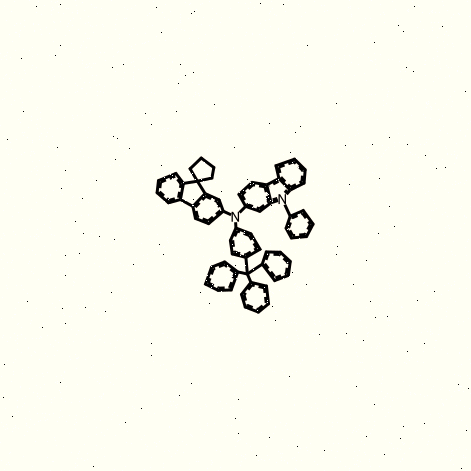 c1ccc(-n2c3ccccc3c3ccc(N(c4ccc(C(c5ccccc5)(c5ccccc5)c5ccccc5)cc4)c4ccc5c(c4)C4(CCCC4)c4ccccc4-5)cc32)cc1